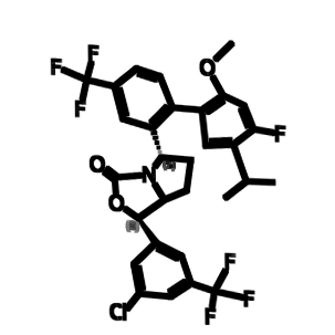 COc1cc(F)c(C(C)C)cc1-c1ccc(C(F)(F)F)cc1[C@@H]1CCC2[C@@H](c3cc(Cl)cc(C(F)(F)F)c3)OC(=O)N21